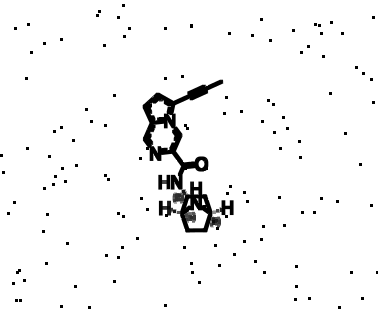 CC#Cc1ccc2cnc(C(=O)N[C@@H]3C[C@H]4CC[C@@H]3N4)cn12